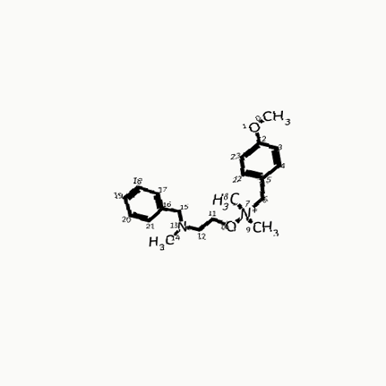 COc1ccc(C[N+](C)(C)OCCN(C)Cc2ccccc2)cc1